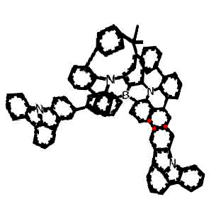 CC1(C)c2ccc(cc2)-c2cccc(-c3ccccc3)c2N2c3cc(-c4ccc5c(c4)c4cccc6c7ccccc7n5c64)ccc3B3c4ccc(-c5ccc6c(c5)c5cccc7c8ccccc8n6c75)cc4N(c4c(-c5ccccc5)cccc4-c4ccccc4)c4cc1cc2c43